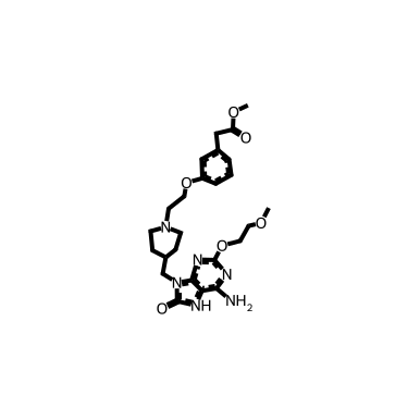 COCCOc1nc(N)c2[nH]c(=O)n(CC3CCN(CCOc4cccc(CC(=O)OC)c4)CC3)c2n1